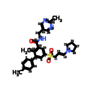 Cc1ccc(-c2cc(S(=O)(=O)CC=CN3CCCC3)cc(C(=O)NCc3cnc(C)nc3)c2C)cc1